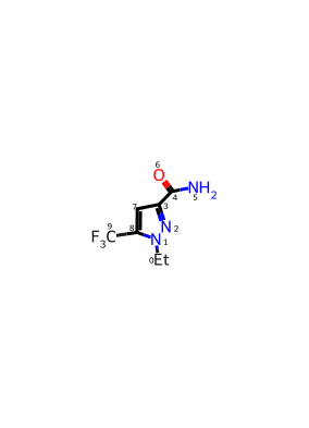 CCn1nc(C(N)=O)[c]c1C(F)(F)F